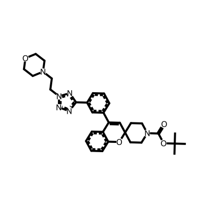 CC(C)(C)OC(=O)N1CCC2(C=C(c3cccc(-c4nnn(CCN5CCOCC5)n4)c3)c3ccccc3O2)CC1